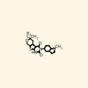 Cn1ccc2cc(-n3c(=O)[nH]c4sc5c(c4c3=O)CC(C)(C)OC5)ccc21